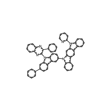 c1ccc(-c2ccc3c4cc(-n5c6ccccc6c6cc7c8ccccc8n(-c8ccccn8)c7cc65)ccc4n(-c4nc5ccccc5nc4-c4ccccc4)c3c2)cc1